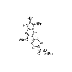 COc1cc2[nH]c(Br)c(C(C)C)c2cc1C1CCN(C(=O)OC(C)(C)C)CC1